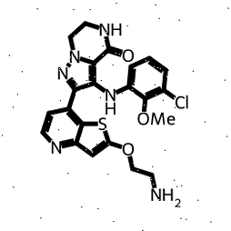 COc1c(Cl)cccc1Nc1c(-c2ccnc3cc(OCCN)sc23)nn2c1C(=O)NCC2